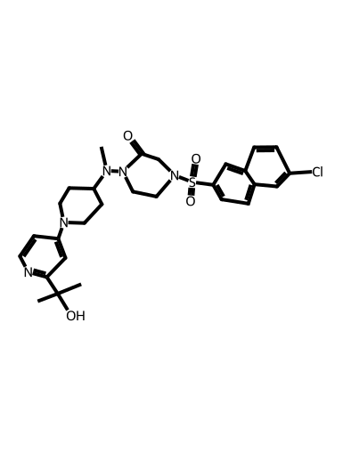 CN(C1CCN(c2ccnc(C(C)(C)O)c2)CC1)N1CCN(S(=O)(=O)c2ccc3cc(Cl)ccc3c2)CC1=O